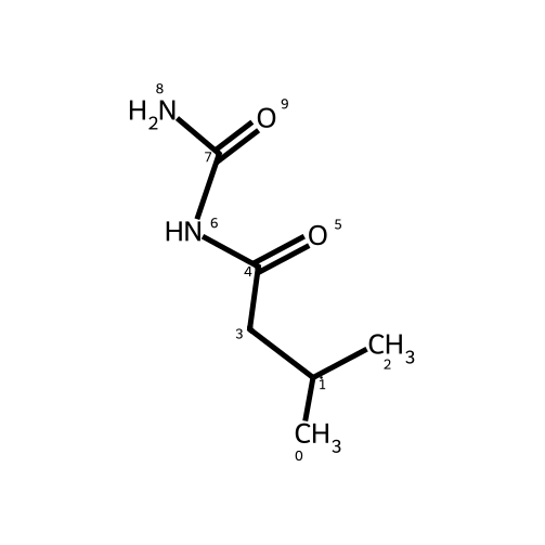 C[C](C)CC(=O)NC(N)=O